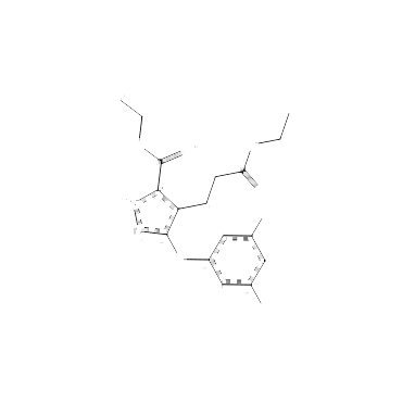 CCOC(=O)CCc1c(C(=O)OCC)n[nH]c1Oc1cc(Cl)cc(Cl)c1